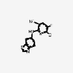 N#Cc1cc(F)c(Cl)nc1Nc1ccc2ncsc2c1